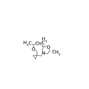 CC(C)OCC1(CN2C[C@@H](C)O[C@@H](C)C2)CC1